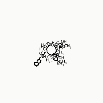 CO[C@]1(C)C[C@H](O[C@H]2[C@H](C)[C@@H](O[C@@H]3O[C@H](C)C[C@H](N(C)C)[C@H]3O)[C@](C)(O)C[C@@H](C)CN(CCC(=O)NCc3ccc4ccccc4c3)[C@H](C)[C@@H](O)[C@](C)(O)[C@@H](I)OC(=O)[C@@H]2C)O[C@@H](C)[C@@H]1O